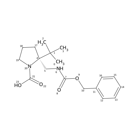 CC(C)(C)[C@]1(CNC(=O)OCc2ccccc2)CCCN1C(=O)O